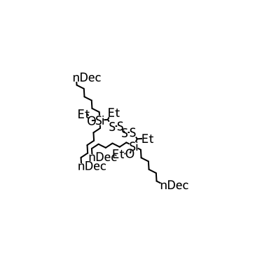 CCCCCCCCCCCCCCCC[Si](CCCCCCCCCCCCCCCC)(OCC)C(CC)SSSSC(CC)[Si](CCCCCCCCCCCCCCCC)(CCCCCCCCCCCCCCCC)OCC